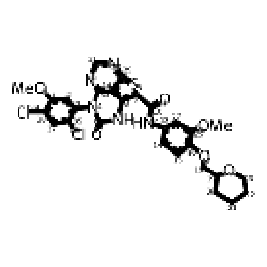 COc1cc(N2C(=O)Nc3c(C(=O)Nc4ccc(OCC5CCCCO5)c(OC)c4)sc4ncnc2c34)c(Cl)cc1Cl